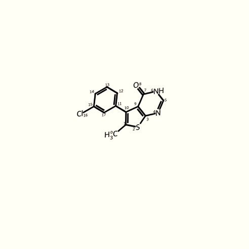 Cc1sc2nc[nH]c(=O)c2c1-c1cccc(Cl)c1